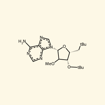 COC1[C@@H](OC(C)(C)C)[C@@H](CC(C)(C)C)O[C@H]1n1cnc2c(N)ncnc21